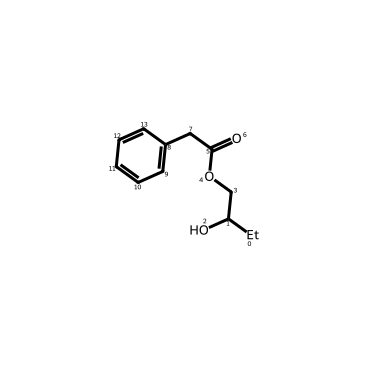 CCC(O)COC(=O)Cc1ccccc1